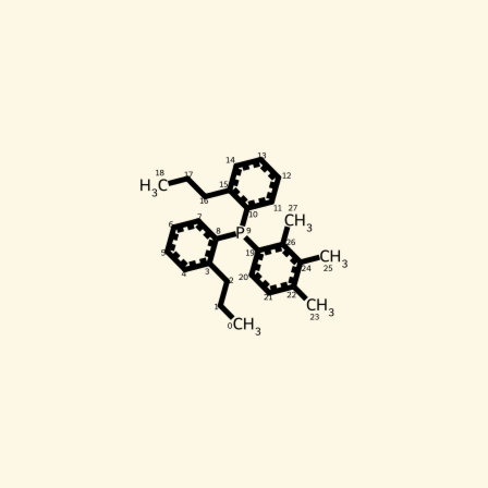 CCCc1ccccc1P(c1ccccc1CCC)c1ccc(C)c(C)c1C